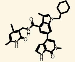 Cc1cc(C)c(CNC(=O)c2cc(-c3cn(C)c(=O)c4[nH]ccc34)cc3c2c(C)cn3CC2CCCCC2)c(=O)[nH]1